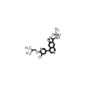 CC(C)COc1ncc(-c2cncc3cc4c(NS(C)(=O)=O)noc4cc23)cc1Cl